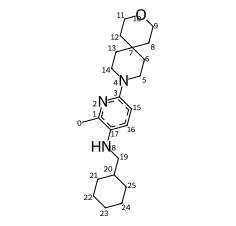 Cc1nc(N2CCC3(CCOCC3)CC2)ccc1NCC1CCCCC1